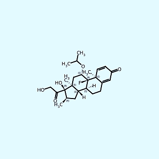 CC(C)O[C@H]1C[C@@]2(C)[C@@H](C[C@@H](C)[C@]2(O)C(=O)CO)[C@@H]2CCC3=CC(=O)C=C[C@]3(C)[C@@]12F